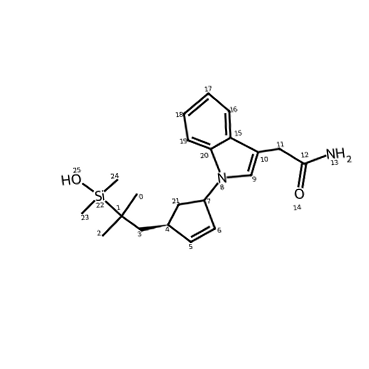 CC(C)(C[C@@H]1C=CC(n2cc(CC(N)=O)c3ccccc32)C1)[Si](C)(C)O